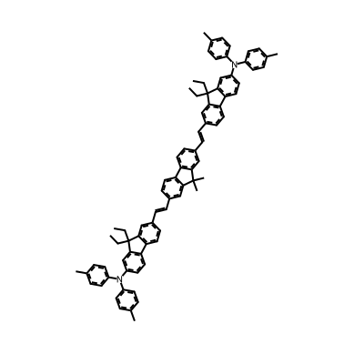 CCC1(CC)c2cc(/C=C/c3ccc4c(c3)C(C)(C)c3cc(/C=C/c5ccc6c(c5)C(CC)(CC)c5cc(N(c7ccc(C)cc7)c7ccc(C)cc7)ccc5-6)ccc3-4)ccc2-c2ccc(N(c3ccc(C)cc3)c3ccc(C)cc3)cc21